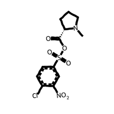 CN1CCC[C@H]1C(=O)OS(=O)(=O)c1ccc(Cl)c([N+](=O)[O-])c1